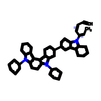 C#C/C=C\C(=C/C)n1c2ccccc2c2cc(-c3ccc4c5c6c7ccccc7n(-c7ccccc7)c6ccc5n(-c5ccccc5)c4c3)ccc21